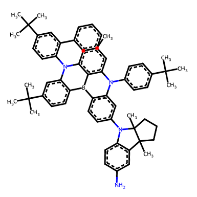 Cc1cc2c3c(c1)N(c1ccc(C(C)(C)C)cc1-c1ccccc1)c1cc(C(C)(C)C)ccc1B3c1ccc(N3c4ccc(N)cc4C4(C)CCCC34C)cc1N2c1ccc(C(C)(C)C)cc1